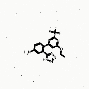 CCOc1cc(-c2ccc(N)cc2-c2nnn[nH]2)cc(C(F)(F)F)n1